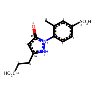 Cc1cc(S(=O)(=O)O)ccc1-n1[nH]c(CCC(=O)O)cc1=O